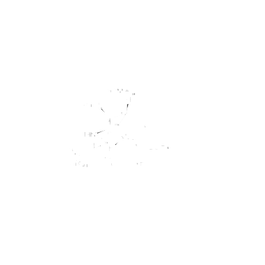 COC(=O)[C@H]1[C@@H]2CC(=C(F)F)[C@@H](C2)[C@H]1NC(=O)OC(C)(C)C